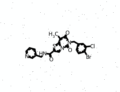 Cc1c(=O)n(Cc2ccc(Br)c(Cl)c2)c(=O)n2cc(C(=O)NCc3cccnc3)sc12